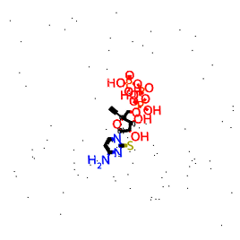 C#C[C@]1(COP(=O)(O)OP(=O)(O)OP(=O)(O)O)O[C@@H](n2ccc(N)nc2=S)C(O)[C@H]1O